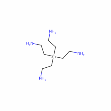 NC[CH2][Sn]([CH2]CN)([CH2]CN)[CH2]CN